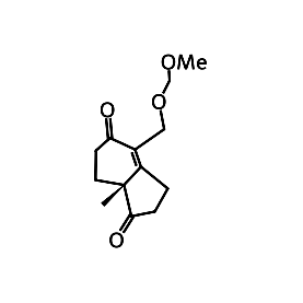 COCOCC1=C2CCC(=O)[C@]2(C)CCC1=O